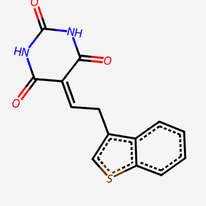 O=C1NC(=O)C(=CCc2csc3ccccc23)C(=O)N1